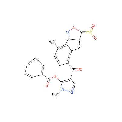 Cc1ccc(C(=O)c2cnn(C)c2OC(=O)c2ccccc2)c2c1C1=NOC(=S(=O)=O)C1C2